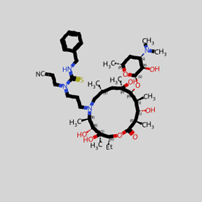 CC[C@H]1OC(=O)[C@H](C)[C@@H](O)[C@H](C)[C@@H](O[C@@H]2O[C@H](C)C[C@H](N(C)C)[C@H]2O)[C@](C)(O)C[C@@H](C)CN(CCCN(CCC#N)C(=S)NCc2ccccc2)[C@H](C)[C@@H](O)[C@]1(C)O